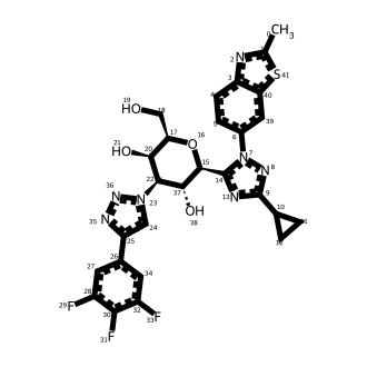 Cc1nc2ccc(-n3nc(C4CC4)nc3[C@@H]3O[C@H](CO)[C@H](O)[C@H](n4cc(-c5cc(F)c(F)c(F)c5)nn4)[C@H]3O)cc2s1